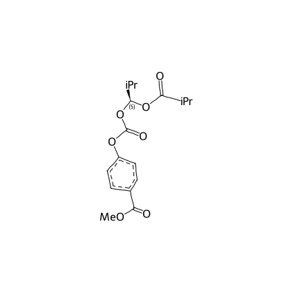 COC(=O)c1ccc(OC(=O)O[C@H](OC(=O)C(C)C)C(C)C)cc1